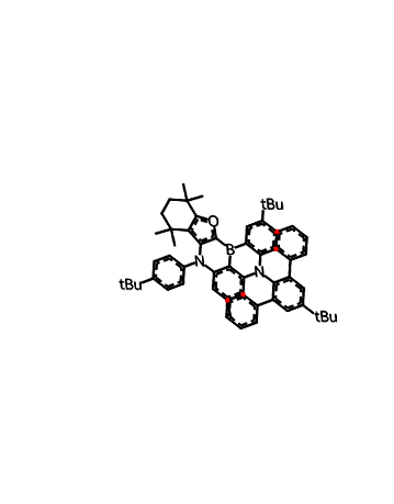 Cc1cc2c3c(c1)N(c1c(-c4ccccc4)cc(C(C)(C)C)cc1-c1ccccc1)c1ccc(C(C)(C)C)cc1B3c1oc3c(c1N2c1ccc(C(C)(C)C)cc1)C(C)(C)CCC3(C)C